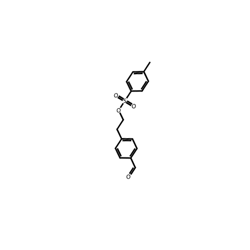 Cc1ccc(S(=O)(=O)OCCc2ccc(C=O)cc2)cc1